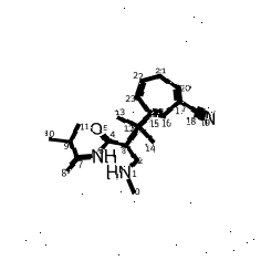 CNCC(C(=O)NC(C)C(C)C)C(C)(C)C1=CC(C#N)=CCC=C1